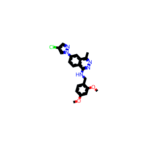 COc1ccc(CNc2nnc(C)c3cc(-n4cc(Cl)cn4)ccc23)c(OC)c1